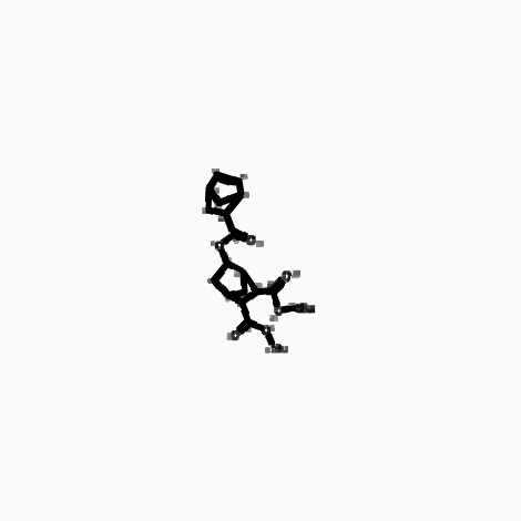 CC(C)(C)OC(=O)C1C2CC(OC(=O)C3CC4C=CC3C4)C(C2)C1C(=O)OC(C)(C)C